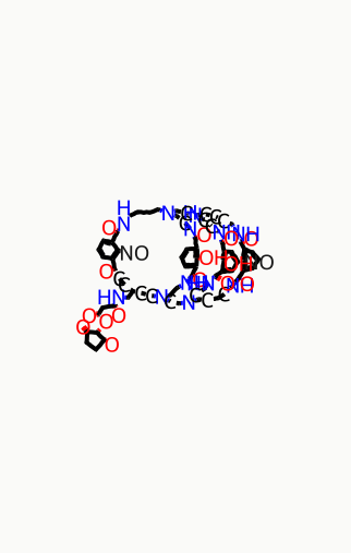 O=Nc1c2cccc1C(=O)NCCCCN1CCNC(=O)c3cccc(c3O)C(=O)NCCN(CCC(CNC(=O)CC(=O)OC3C(=O)CCC3=O)CCC2=O)CCN2CCCCNC(=O)c3cccc(c3N=O)C(=O)NCCCCN(CCNC(=O)c3cccc(c3O)C(=O)NCC2)CC1